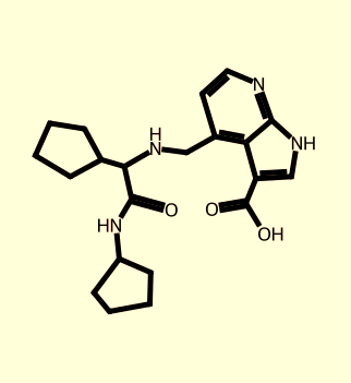 O=C(O)c1c[nH]c2nccc(CNC(C(=O)NC3CCCC3)C3CCCC3)c12